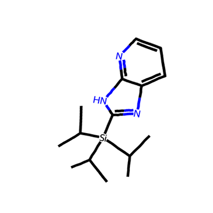 CC(C)[Si](c1nc2cccnc2[nH]1)(C(C)C)C(C)C